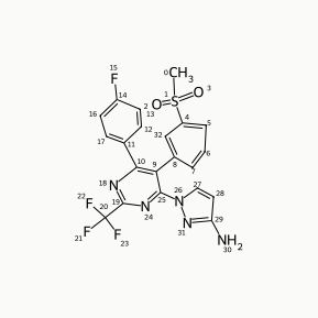 CS(=O)(=O)c1cccc(-c2c(-c3ccc(F)cc3)nc(C(F)(F)F)nc2-n2ccc(N)n2)c1